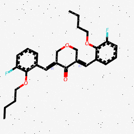 CCCCOc1c(F)cccc1/C=C1\COC/C(=C\c2cccc(F)c2OCCCC)C1=O